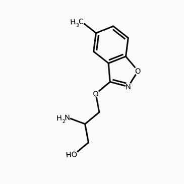 Cc1ccc2onc(OCC(N)CO)c2c1